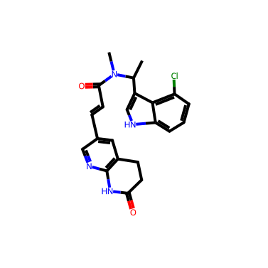 CC(c1c[nH]c2cccc(Cl)c12)N(C)C(=O)C=Cc1cnc2c(c1)CCC(=O)N2